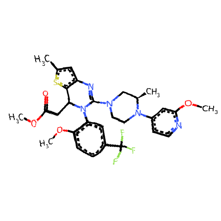 COC(=O)CC1c2sc(C)cc2N=C(N2CCN(c3ccnc(OC)c3)[C@H](C)C2)N1c1cc(C(F)(F)F)ccc1OC